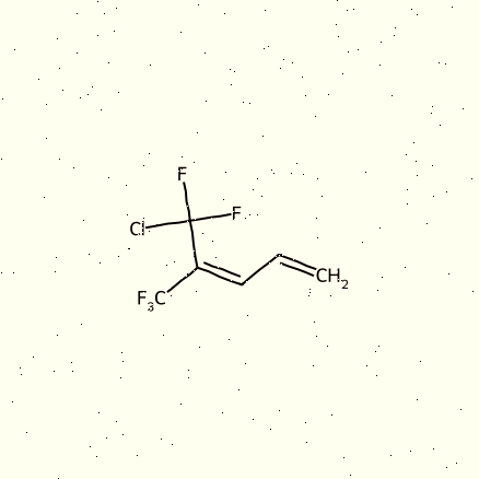 C=CC=C(C(F)(F)F)C(F)(F)Cl